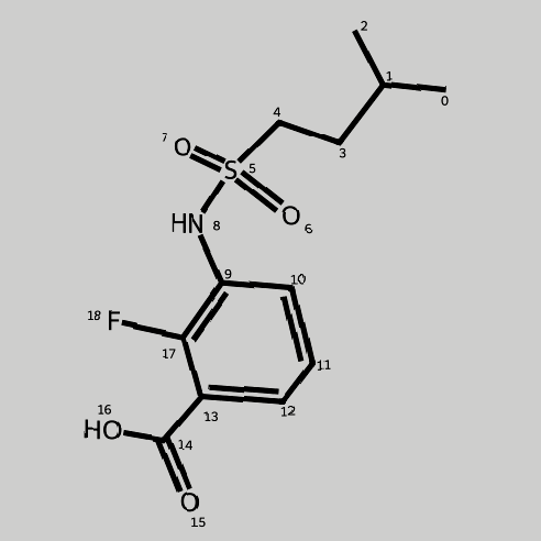 CC(C)CCS(=O)(=O)Nc1cccc(C(=O)O)c1F